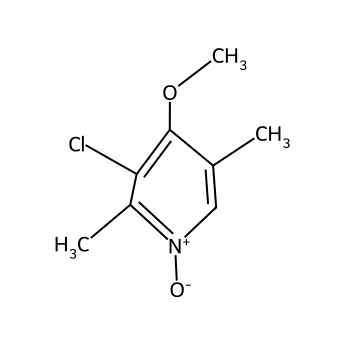 COc1c(C)c[n+]([O-])c(C)c1Cl